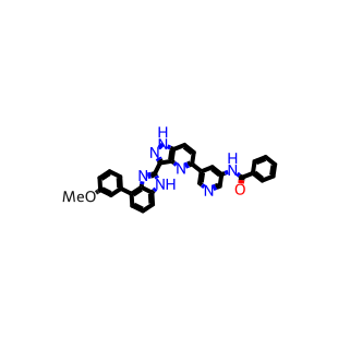 COc1cccc(-c2cccc3[nH]c(-c4n[nH]c5ccc(-c6cncc(NC(=O)c7ccccc7)c6)nc45)nc23)c1